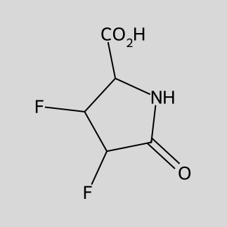 O=C1NC(C(=O)O)C(F)C1F